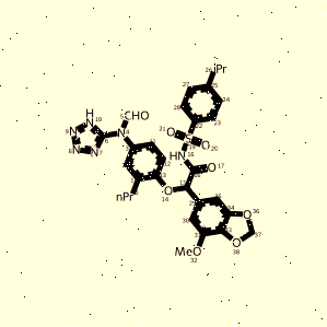 CCCc1cc(N(C=O)c2nnn[nH]2)ccc1OC(C(=O)NS(=O)(=O)c1ccc(C(C)C)cc1)c1cc(OC)c2c(c1)OCO2